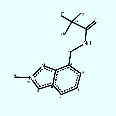 C=C(NCc1cccc2cn(C)nc12)C(C)(C)C